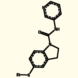 CCSc1ccc2c(c1)CCN2C(=O)Nc1cccnc1